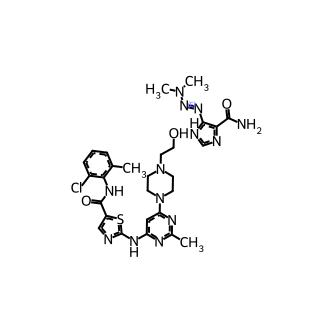 CN(C)/N=N/c1[nH]cnc1C(N)=O.Cc1nc(Nc2ncc(C(=O)Nc3c(C)cccc3Cl)s2)cc(N2CCN(CCO)CC2)n1